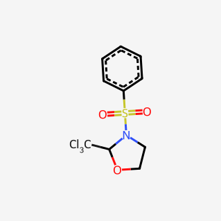 O=S(=O)(c1ccccc1)N1CCOC1C(Cl)(Cl)Cl